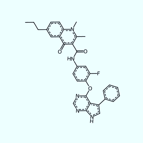 CCCc1ccc2c(c1)c(=O)c(C(=O)Nc1ccc(Oc3ncnc4[nH]cc(-c5ccccc5)c34)c(F)c1)c(C)n2C